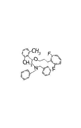 Cc1cccc(C)c1C(CN(Cc1ccccc1)Cc1ccccc1)OCCCc1c(F)cccc1F